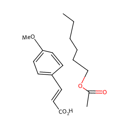 CCCCCCOC(C)=O.COc1ccc(C=CC(=O)O)cc1